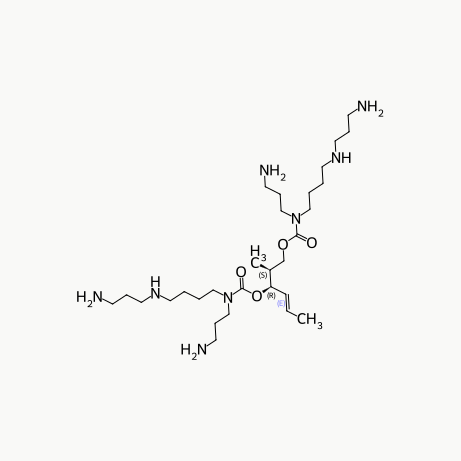 C/C=C/[C@@H](OC(=O)N(CCCN)CCCCNCCCN)[C@@H](C)COC(=O)N(CCCN)CCCCNCCCN